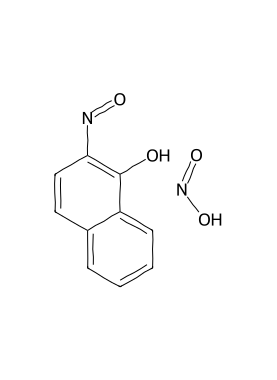 O=NO.O=Nc1ccc2ccccc2c1O